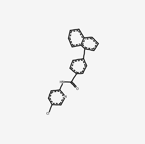 O=C(Nc1ccc(Cl)cn1)c1ccc(-c2cccc3ccccc23)cc1